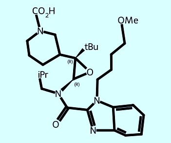 COCCCCn1c(C(=O)N(CC(C)C)[C@@H]2O[C@]2(C2CCCN(C(=O)O)C2)C(C)(C)C)nc2ccccc21